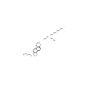 CC(C)CCCC(C)[C@H]1CC[C@H]2[C@@H]3CC=C4C[C@@H](SSCCC(=O)N(CCCCCCCC(C)N)CCC(C)N)CC[C@]4(C)[C@H]3CC[C@]12C.Cl.Cl